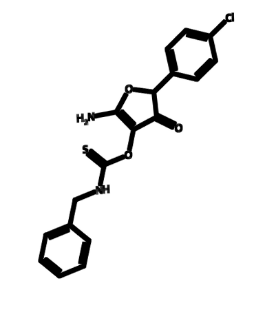 NC1=C(OC(=S)NCc2ccccc2)C(=O)C(c2ccc(Cl)cc2)O1